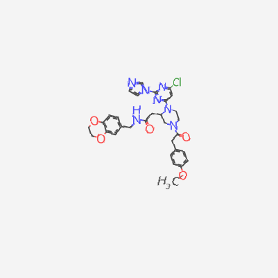 COc1ccc(CC(=O)N2CCN(c3cc(Cl)nc(-n4ccnc4)n3)C(CC(=O)NCc3ccc4c(c3)OCCO4)C2)cc1